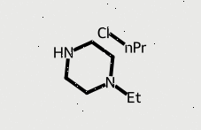 CCCCl.CCN1CCNCC1